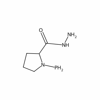 NNC(=O)C1CCCN1P